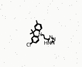 Cc1ccc2c(c1)C(C)(C)c1cc(Cl)ccc1N2CCc1nnn[nH]1